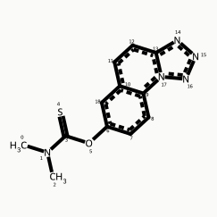 CN(C)C(=S)Oc1ccc2c(ccc3nnnn32)c1